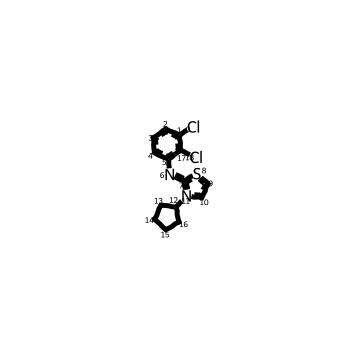 Clc1cccc(N=c2sccn2C2CCCC2)c1Cl